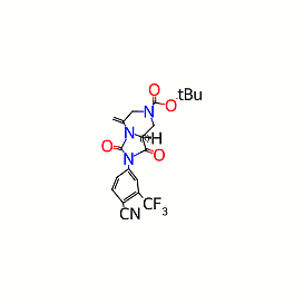 C=C1CN(C(=O)OC(C)(C)C)C[C@@H]2C(=O)N(c3ccc(C#N)c(C(F)(F)F)c3)C(=O)N12